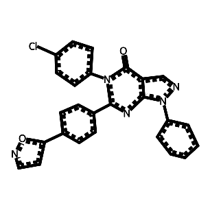 O=c1c2cnn(-c3ccccc3)c2nc(-c2ccc(-c3ccno3)cc2)n1-c1ccc(Cl)cc1